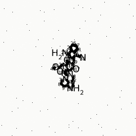 CC#CCn1c(N2CCCC(N)C2)nc2c1c(=O)n(Cc1cc(N)c3ccccc3c1C#N)c(=O)n2CC(=O)OC